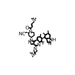 Cc1cc2[nH]ncc2c(-c2c(C)cc3c(nc(N4CC(C)(N(C)C)C4)c4cnn([C@H]5CCN(C(=O)/C=C/CN(C)C)[C@H](CC#N)C5)c43)c2F)c1C